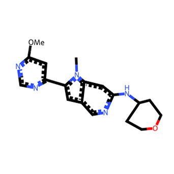 COc1cc(-c2cc3cnc(NC4CCOCC4)cc3n2C)ncn1